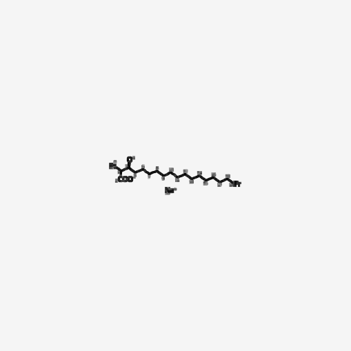 CCC(C(=O)[O-])C(=O)CCCCCCCCCCCCCCC(C)C.[Na+]